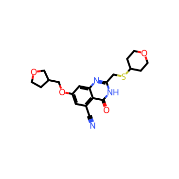 N#Cc1cc(OCC2CCOC2)cc2nc(CSC3CCOCC3)[nH]c(=O)c12